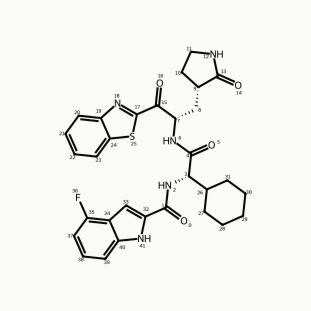 O=C(N[C@H](C(=O)N[C@@H](C[C@@H]1CCNC1=O)C(=O)c1nc2ccccc2s1)C1CCCCC1)c1cc2c(F)cccc2[nH]1